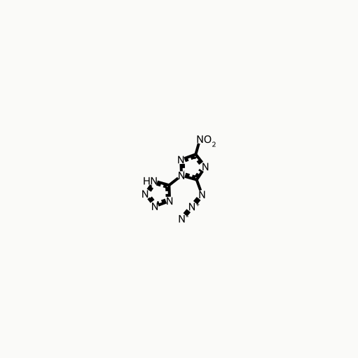 [N-]=[N+]=Nc1nc([N+](=O)[O-])nn1-c1nnn[nH]1